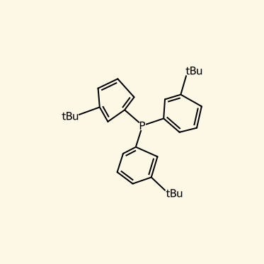 CC(C)(C)c1cccc(P(c2cccc(C(C)(C)C)c2)c2cccc(C(C)(C)C)c2)c1